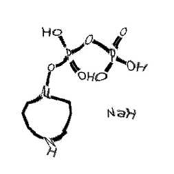 O=P(O)(O)OP(=O)(O)ON1CCNCC1.[NaH]